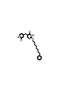 Cn1ccc(Cc2cnc(SCCCCCCCCc3ccccc3)[nH]c2=O)cc1=O